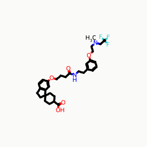 CN(CCOc1cccc(CCNC(=O)CCCOc2ccc3c(c2)C2(CC3)CCC(C(=O)O)CC2)c1)CC(F)(F)F